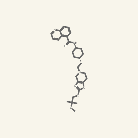 COC(C)(C)COc1nc2c(s1)CCN(CC[C@H]1CC[C@H](NC(=O)c3cccc4ncccc34)CC1)C2